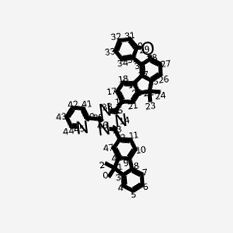 CC1(C)c2ccccc2-c2ccc(-c3nc(-c4ccc5c(c4)C(C)(C)c4ccc6oc7ccccc7c6c4-5)nc(-c4ccccn4)n3)cc21